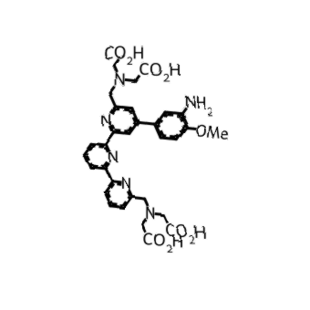 COc1ccc(-c2cc(CN(CC(=O)O)CC(=O)O)nc(-c3cccc(-c4cccc(CN(CC(=O)O)CC(=O)O)n4)n3)c2)cc1N